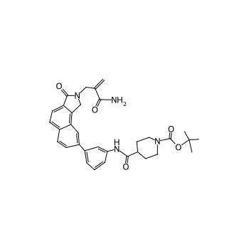 C=C(CN1Cc2c(ccc3ccc(-c4cccc(NC(=O)C5CCN(C(=O)OC(C)(C)C)CC5)c4)cc23)C1=O)C(N)=O